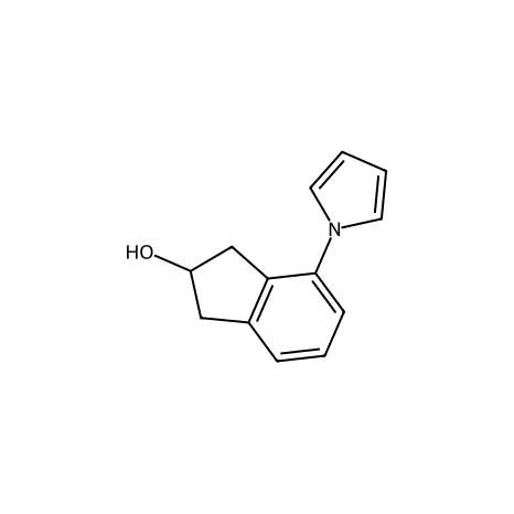 OC1Cc2cccc(-n3cccc3)c2C1